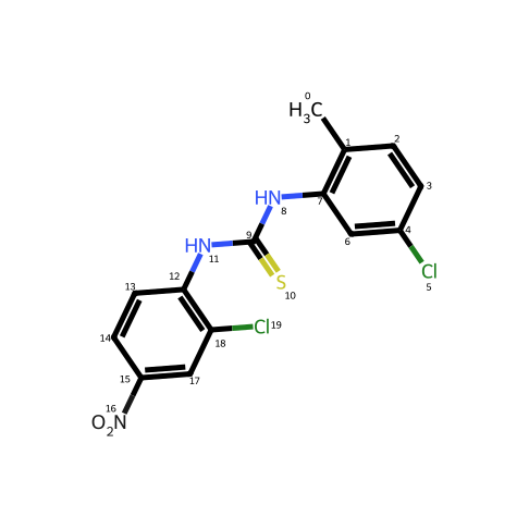 Cc1ccc(Cl)cc1NC(=S)Nc1ccc([N+](=O)[O-])cc1Cl